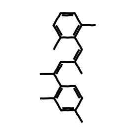 CC(=Cc1c(C)cccc1C)C=C(C)c1ccc(C)cc1C